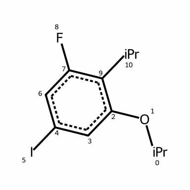 CC(C)Oc1cc(I)cc(F)c1C(C)C